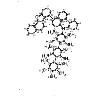 Bc1c(B)c(B)c(-c2c(B)c(B)c(-c3c(B)c(B)c(N(c4ccc(-c5cccc6oc7c8ccccc8ccc7c56)cc4)c4ccccc4-c4ccccc4)c(B)c3B)c(B)c2B)c(B)c1B